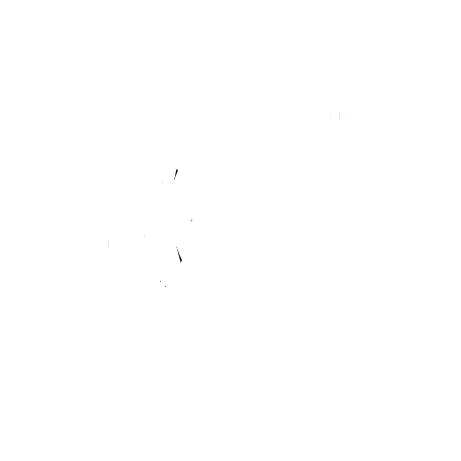 Cc1ccc(CCC[C@@H]2[C@@H](CN(C)Cc3ccccc3)[C@H](O)C[C@H]2Cl)s1